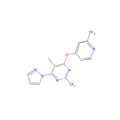 Cc1c(Oc2ccnc(C(F)(F)F)c2)nc(C(F)(F)F)nc1-n1cccn1